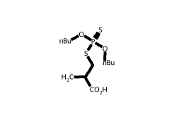 CCCCOP(=S)(OCCCC)SCC(C)C(=O)O